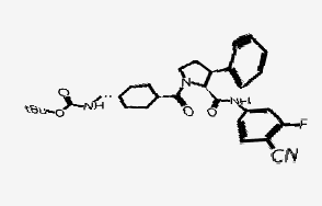 CC(C)(C)OC(=O)NC[C@H]1CC[C@H](C(=O)N2CC[C@@H](c3ccccc3)[C@H]2C(=O)Nc2ccc(C#N)c(F)c2)CC1